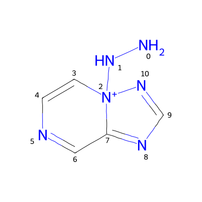 NN[N+]12C=CN=CC1=NC=N2